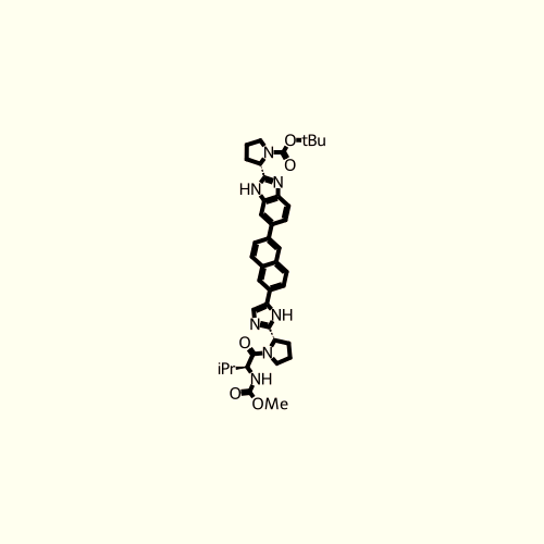 COC(=O)N[C@H](C(=O)N1CCC[C@H]1c1ncc(-c2ccc3cc(-c4ccc5nc([C@@H]6CCCN6C(=O)OC(C)(C)C)[nH]c5c4)ccc3c2)[nH]1)C(C)C